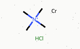 C[N+](C)(C)C.Cl.[Cr]